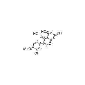 COc1ccc(-c2coc3cc(O)cc(O)c3c2=O)cc1O.Cl